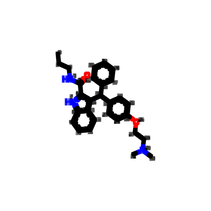 CCCNC(=O)c1[nH]c2ccccc2c1C(c1ccccc1)c1ccc(OCCN(C)C)cc1